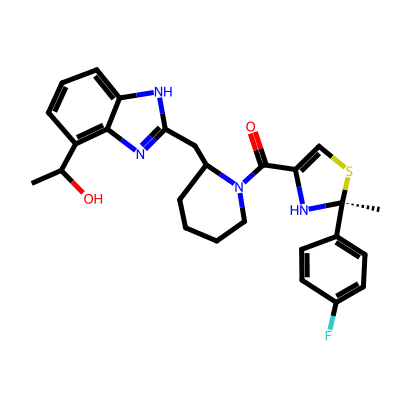 CC(O)c1cccc2[nH]c(CC3CCCCN3C(=O)C3=CS[C@@](C)(c4ccc(F)cc4)N3)nc12